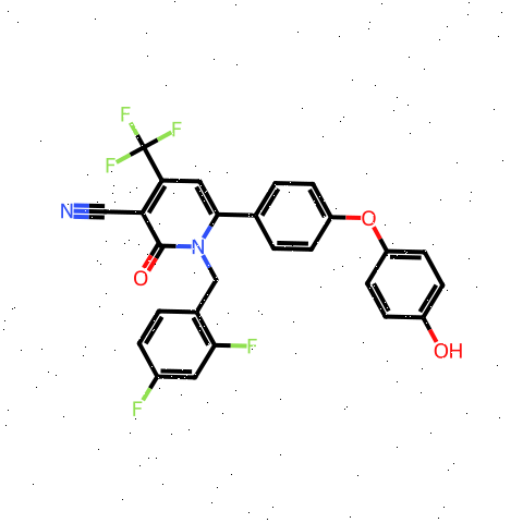 N#Cc1c(C(F)(F)F)cc(-c2ccc(Oc3ccc(O)cc3)cc2)n(Cc2ccc(F)cc2F)c1=O